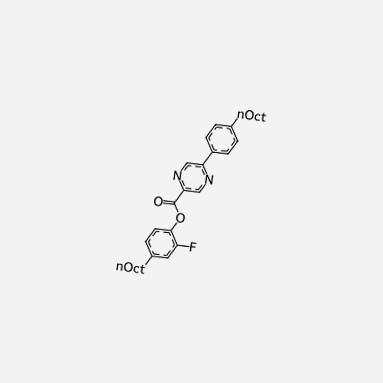 CCCCCCCCc1ccc(-c2cnc(C(=O)Oc3ccc(CCCCCCCC)cc3F)cn2)cc1